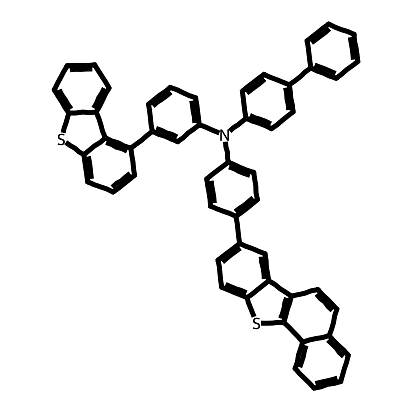 c1ccc(-c2ccc(N(c3ccc(-c4ccc5sc6c7ccccc7ccc6c5c4)cc3)c3cccc(-c4cccc5sc6ccccc6c45)c3)cc2)cc1